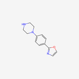 c1coc(-c2ccc(N3CCNCC3)cc2)n1